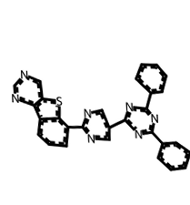 c1ccc(-c2nc(-c3ccccc3)nc(-c3cnc(-c4cccc5c4sc4cncnc45)nc3)n2)cc1